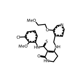 COCCOc1cnccc1CNC1=C(C(=S)Nc2cccc(Cl)c2OC)C(=O)NCC1